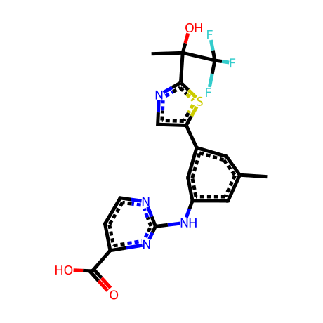 Cc1cc(Nc2nccc(C(=O)O)n2)cc(-c2cnc(C(C)(O)C(F)(F)F)s2)c1